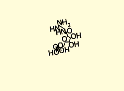 N=C(N)CNC(=O)C1O[C@H](COP(=O)(O)O)[C@@H](O)[C@H]1O